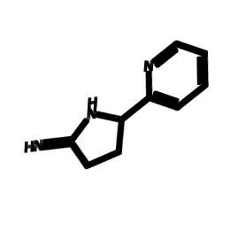 N=C1CCC(c2ccccn2)N1